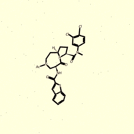 CC(=O)N1CC[C@H]2CC[C@@H](C(=O)N(C)c3ccc(Cl)c(Cl)c3)N2C(=O)[C@@H](NC(=O)c2cc3ccccc3s2)C1